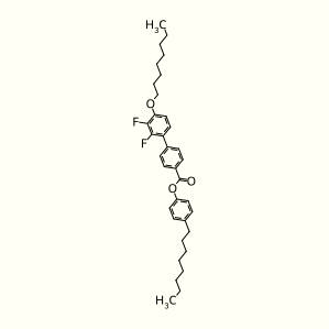 CCCCCCCCOc1ccc(-c2ccc(C(=O)Oc3ccc(CCCCCCCC)cc3)cc2)c(F)c1F